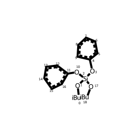 CCC(C)O[Si](Oc1ccccc1)(Oc1ccccc1)OC(C)CC